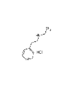 Cl.FC(F)(F)CNCCc1ccccc1